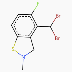 CN1Cc2c(ccc(F)c2C(Br)Br)S1